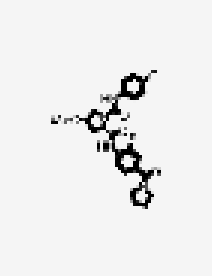 CO[C@@H]1C[C@H](C(=O)Nc2ccc(C(=O)N3CCCC3)cc2F)N(C(=O)Nc2ccc(Cl)cc2)C1